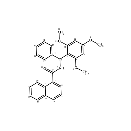 COc1cc(OC)c(C(NC(=O)c2cccc3ccccc23)c2ccccc2)c(OC)c1